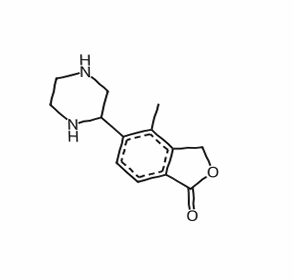 Cc1c(C2CNCCN2)ccc2c1COC2=O